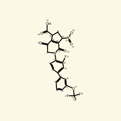 O=C1CN(c2ccc(-c3cccc(OC(F)(F)F)c3)cc2F)C(=O)C2=C1C(C(=O)O)CC2[N+](=O)[O-]